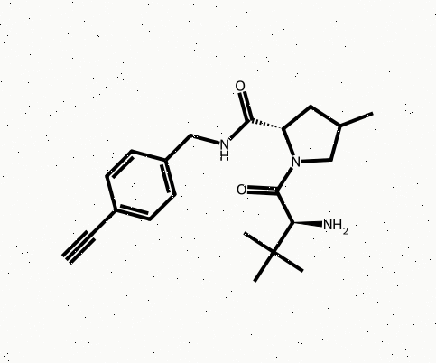 C#Cc1ccc(CNC(=O)[C@@H]2CC(C)CN2C(=O)[C@@H](N)C(C)(C)C)cc1